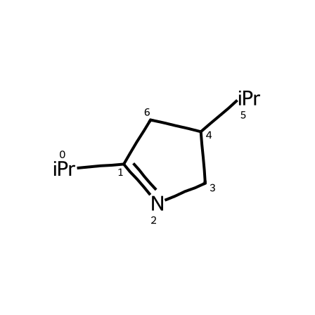 CC(C)C1=NCC(C(C)C)C1